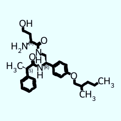 CCCC(C)COc1ccc([C@H](CNC(=O)[C@H](N)CCO)NC(=O)[C@@H](C)c2ccccc2)cc1